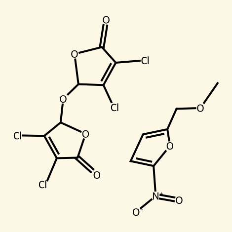 COCc1ccc([N+](=O)[O-])o1.O=C1OC(OC2OC(=O)C(Cl)=C2Cl)C(Cl)=C1Cl